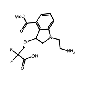 CCC1CN(CCN)c2cccc(C(=O)OC)c21.O=C(O)C(F)(F)F